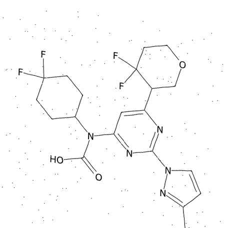 Cc1ccn(-c2nc(C3COCCC3(F)F)cc(N(C(=O)O)C3CCC(F)(F)CC3)n2)n1